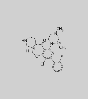 C[C@H]1CN(C)CCN1c1nc(-c2ccccc2F)c(Cl)c2c1C(=O)N1CCNC[C@@H]1CO2